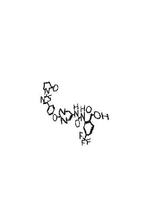 O=C(Nc1cnc(Oc2ccc(-c3cnc(N4CCCC4=O)s3)cc2)nc1)Nc1cc(C(F)(F)F)ccc1C(=O)O